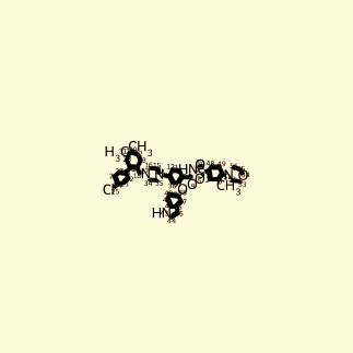 Cc1cc(S(=O)(=O)NC(=O)c2ccc(N3CCN(CC4=C(c5ccc(Cl)cc5)CC(C)(C)CC4)CC3)cc2Oc2ccc3[nH]ccc3c2)ccc1N1CCOCC1